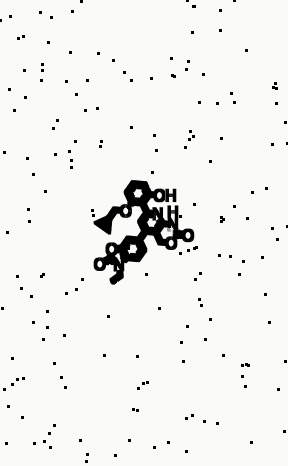 CCn1c(=O)oc2cc(-c3cc(-c4c(O)cccc4OCC4CC4)nc4c3COC(=O)N4)ccc21